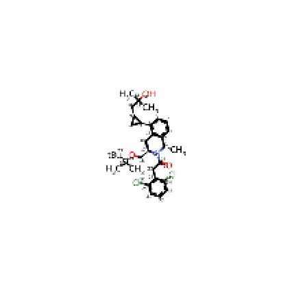 C[C@H]1c2cccc([C@H]3C[C@H]3CC(C)(C)O)c2C[C@H](CO[Si](C)(C)C(C)(C)C)N1C(=O)Cc1c(Cl)cccc1Cl